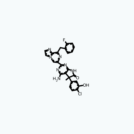 CC1(c2ccc(Cl)c(O)c2)C(=O)Nc2nc(-c3cn4ccnc4c(Cc4ccccc4F)n3)nc(N)c21